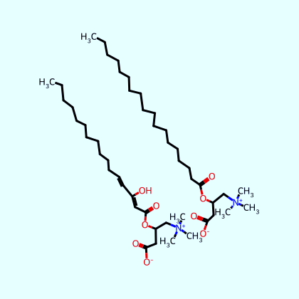 CCCCCCCCCCCC=CC(O)=CC(=O)OC(CC(=O)[O-])C[N+](C)(C)C.CCCCCCCCCCCCCCCCCC(=O)OC(CC(=O)[O-])C[N+](C)(C)C